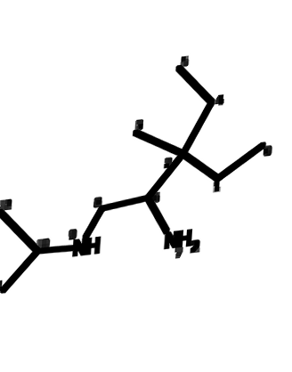 CCC(C)(CC)C(N)CNC(C)C